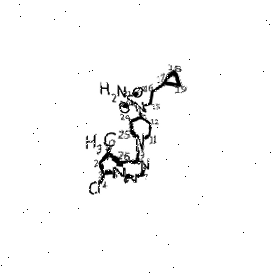 Cc1cc(Cl)n2ncnc(N3CCC(N(CCC4CC4)S(N)(=O)=O)CC3)c12